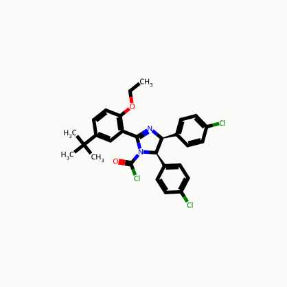 CCOc1ccc(C(C)(C)C)cc1C1=N[C@@H](c2ccc(Cl)cc2)[C@@H](c2ccc(Cl)cc2)N1C(=O)Cl